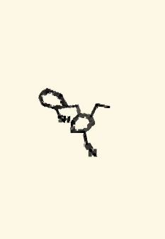 CCc1cc(C#N)ccc1Cc1ccccc1S